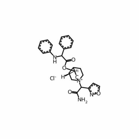 NC(=O)C(c1ccon1)[N+]12CCC(CC1)[C@@H](OC(=O)C(Nc1ccccc1)c1ccccc1)C2.[Cl-]